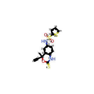 C#CC1(C)OC(=S)Nc2ccc(NS(=O)(=O)c3cccs3)cc21